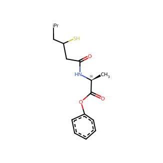 CC(C)CC(S)CC(=O)N[C@@H](C)C(=O)Oc1ccccc1